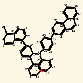 CC1CC=Cc2c(C3=CC=C(c4ccccc4)C(N(c4ccccc4)c4ccc(-c5ccc6c(ccc7ccccc76)c5)cc4)C3)cccc21